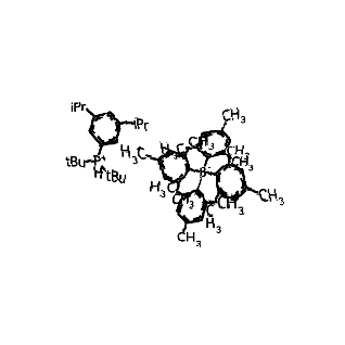 CC(C)c1cc(C(C)C)cc([PH+](C(C)(C)C)C(C)(C)C)c1.Cc1cc(C)c([B-](c2c(C)cc(C)cc2C)(c2c(C)cc(C)cc2C)c2c(C)cc(C)cc2C)c(C)c1